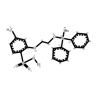 CCOS(=O)(=O)c1ccc(C)cc1OCCO[Si](c1ccccc1)(c1ccccc1)C(C)(C)C